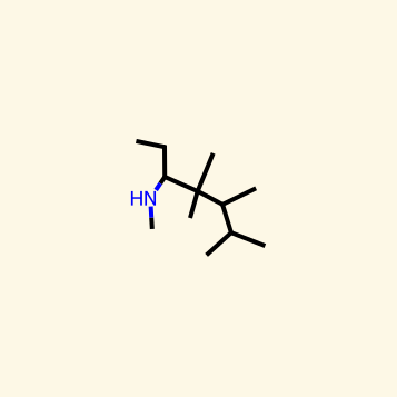 CCC(NC)C(C)(C)C(C)C(C)C